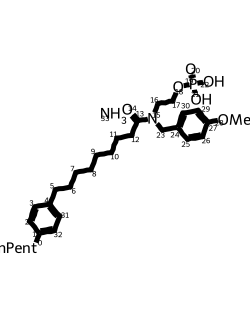 CCCCCc1ccc(CCCCCCCCC(=O)N(CCOP(=O)(O)O)Cc2ccc(OC)cc2)cc1.N